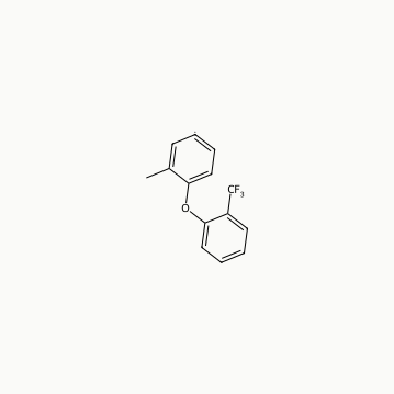 Cc1c[c]ccc1Oc1ccccc1C(F)(F)F